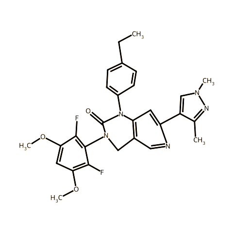 CCc1ccc(N2C(=O)N(c3c(F)c(OC)cc(OC)c3F)Cc3cnc(-c4cn(C)nc4C)cc32)cc1